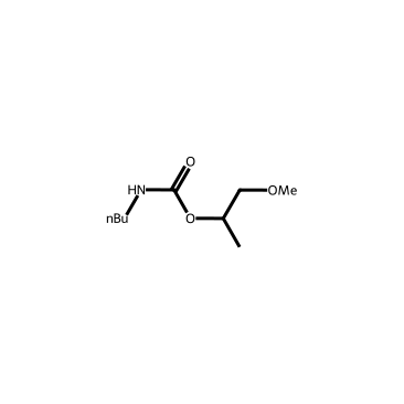 CCCCNC(=O)OC(C)COC